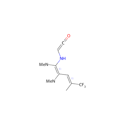 CNC(/C=C(\C)C(F)(F)F)=C(\NC)NC=C=O